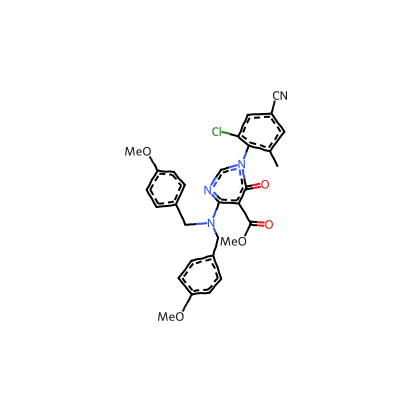 COC(=O)c1c(N(Cc2ccc(OC)cc2)Cc2ccc(OC)cc2)ncn(-c2c(C)cc(C#N)cc2Cl)c1=O